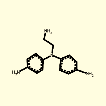 NCCN(c1ccc(N)cc1)c1ccc(N)cc1